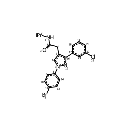 CC(C)NC(=O)Cc1cn(-c2ccc(Br)cc2)nc1-c1cccc(Cl)c1